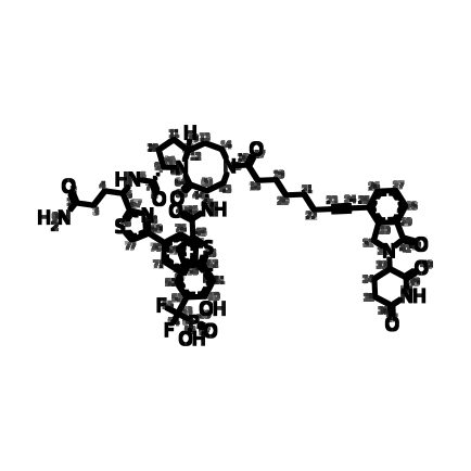 NC(=O)CCC(NC(=O)[C@@H]1CC[C@@H]2CCN(C(=O)CCCCCC#Cc3cccc4c3CN(C3CCC(=O)NC3=O)C4=O)C[C@H](NC(=O)c3cc4cc(C(F)(F)P(=O)(O)O)ccc4s3)C(=O)N21)c1nc(-c2ccc(F)cc2)cs1